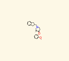 COc1ccccc1O[C@@H]1CCN(CC2Cc3ccccc3C2)C[C@H]1C